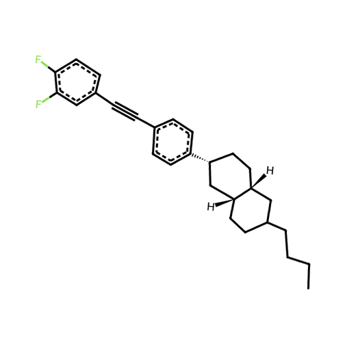 CCCCC1CC[C@@H]2C[C@H](c3ccc(C#Cc4ccc(F)c(F)c4)cc3)CC[C@@H]2C1